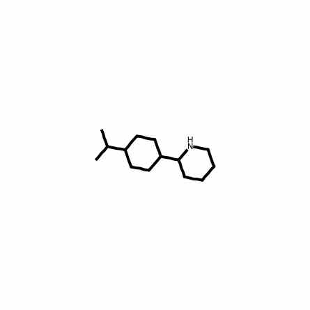 CC(C)C1CCC(C2CCCCN2)CC1